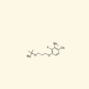 Bc1c(C#N)ccc(OCCCO[Si](C)(C)C(C)(C)C)c1F